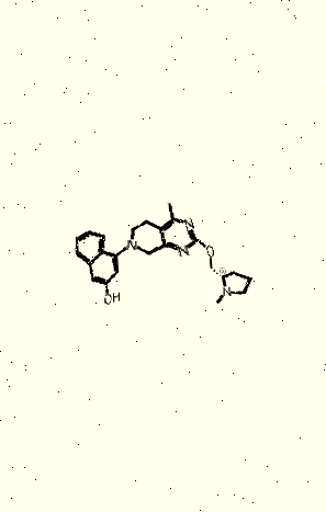 Cc1nc(OC[C@@H]2CCCN2C)nc2c1CCN(c1cc(O)cc3ccccc13)C2